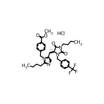 CCCCc1ncc(/C=C2/C(=O)N(CCCC)C(=O)N2Cc2ccc(C(F)(F)F)cc2)n1Cc1ccc(C(=O)OC)cc1.Cl